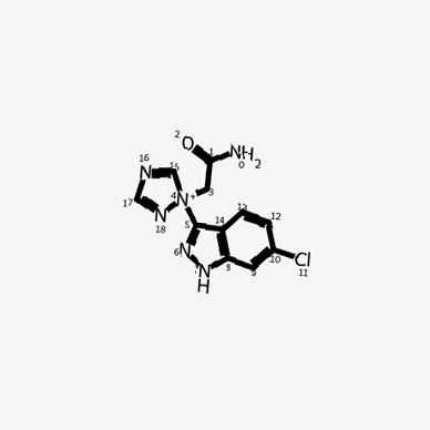 NC(=O)C[N+]1(c2n[nH]c3cc(Cl)ccc23)C=NC=N1